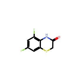 O=C1CSc2cc(F)[c]c(F)c2N1